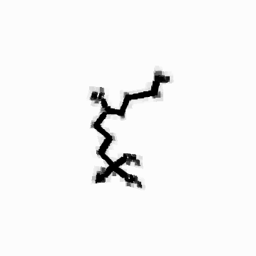 CCC(C)(C)CCCN(C)CCCC(C)(C)C